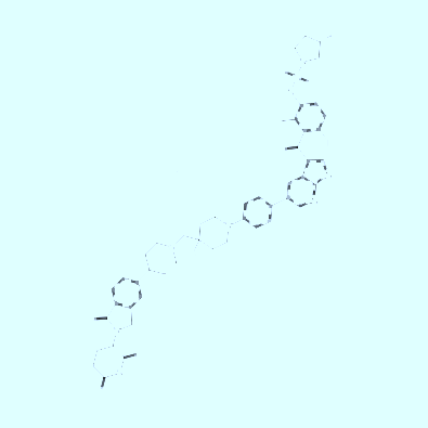 O=C1CCC(N2Cc3cc(C4CCN(CC5(O)CCN(c6ccc(-c7cnc8[nH]cc(C(=O)c9c(F)ccc(NS(=O)(=O)N%10CC[C@@H](F)C%10)c9F)c8c7)cc6)CC5)CC4)ccc3C2=O)C(=O)N1.O=CO